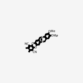 COc1cc2c(cc1OC)N1Cc3cc4c(cc3N(C2)C1)Oc1c(C#N)c(C)c(C)c(C#N)c1O4